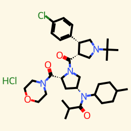 CC1CCC(N(C(=O)C(C)C)[C@@H]2C[C@H](C(=O)N3CCOCC3)N(C(=O)[C@H]3CN(C(C)(C)C)C[C@H]3c3ccc(Cl)cc3)C2)CC1.Cl